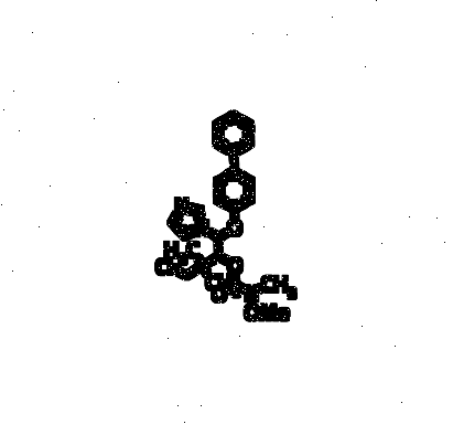 CON(C)C(=O)OC(C(Oc1ccc(-c2ccccc2)cc1)n1ccnc1)C(C)(C)CCl